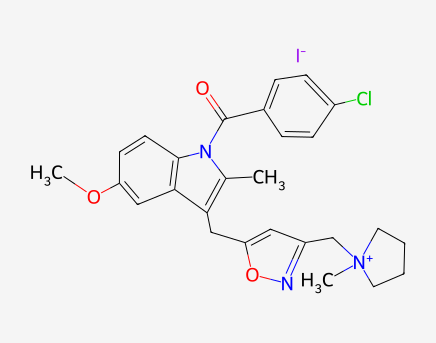 COc1ccc2c(c1)c(Cc1cc(C[N+]3(C)CCCC3)no1)c(C)n2C(=O)c1ccc(Cl)cc1.[I-]